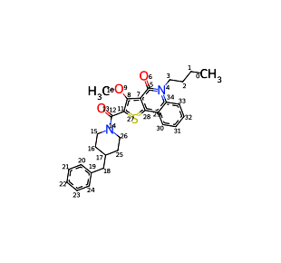 CCCCn1c(=O)c2c(OC)c(C(=O)N3CCC(Cc4ccccc4)CC3)sc2c2ccccc21